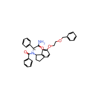 NC(=O)[C@@H](c1ccccc1)N(C(=O)c1ccccc1)C1CCc2ccc(OCCOCc3ccccc3)cc21